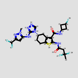 Cn1nc(C(F)F)cc1Nc1nncn1[C@H]1CCc2sc(NC(=O)CC(C)(F)F)c(C(=O)NC3CC(F)C3)c2C1